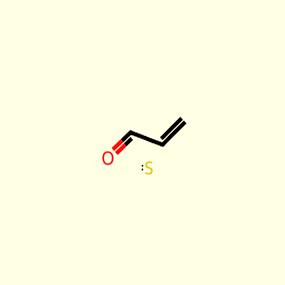 C=CC=O.[S]